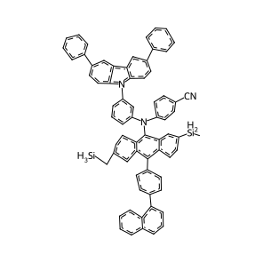 C[SiH2]c1ccc2c(-c3ccc(-c4cccc5ccccc45)cc3)c3cc(C[SiH3])ccc3c(N(c3ccc(C#N)cc3)c3cccc(-n4c5ccc(-c6ccccc6)cc5c5cc(-c6ccccc6)ccc54)c3)c2c1